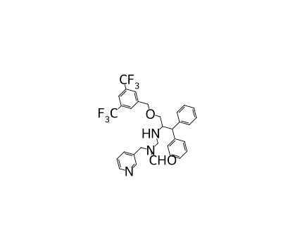 O=CN(CNC(COCc1cc(C(F)(F)F)cc(C(F)(F)F)c1)C(c1ccccc1)c1ccccc1)Cc1cccnc1